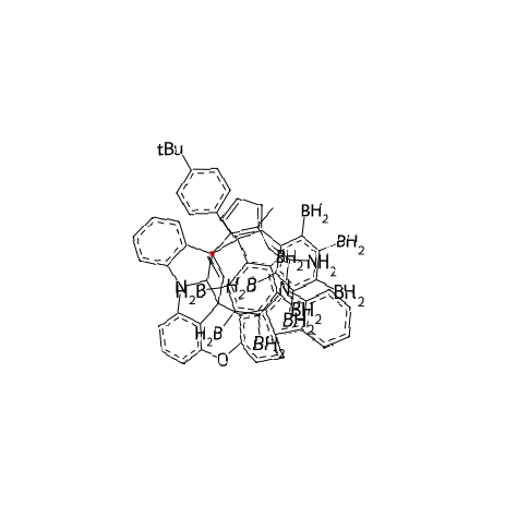 Bc1c(B)c(B)c(C2=CC=CC2(c2c(B)c(B)c(B)c(B)c2B)C2c3ccccc3N3c4cccc5c4C4(/C=C/C(c6ccc(C(C)(C)C)cc6)=C(C)\C=C(/N)n6c7ccccc7c7ccc(c4c76)O5)C23)c(B)c1B